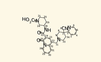 N#CC1(c2ccccn2)CCN(Cc2cc(C(=O)NC3CCCN(C(=O)O)C3)c(=O)n3ccccc23)CC1